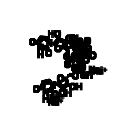 O=c1ccn([C@@H]2O[C@H](COP(=O)(O)OP(=O)(OP(=O)([O-])OP(=O)([O-])OP(=O)([O-])[O-])OP(=O)(O)OC[C@H]3O[C@@H](n4ccc(=O)[nH]c4=O)[C@H](O)[C@@H]3O)[C@@H](O)[C@H]2O)c(=O)[nH]1.[Na+].[Na+].[Na+].[Na+]